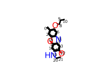 C=c1cc2c(cc1OCCC)=Nc1cc3c(cc1O2)NCCO3